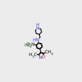 Cc1noc(C)c1-c1ccc(NCC2CCNCC2)c([N+](=O)[O-])c1.Cl